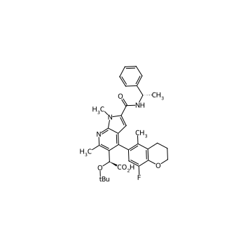 Cc1nc2c(cc(C(=O)N[C@@H](C)c3ccccc3)n2C)c(-c2cc(F)c3c(c2C)CCCO3)c1[C@H](OC(C)(C)C)C(=O)O